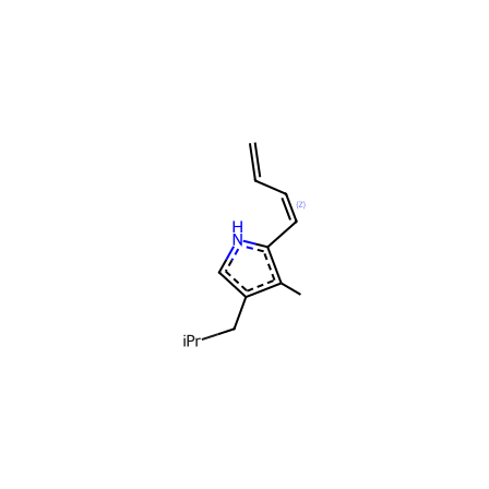 C=C/C=C\c1[nH]cc(CC(C)C)c1C